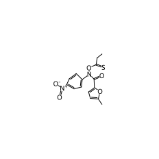 CCC(=S)ON(C(=O)c1ccc(C)o1)c1ccc([N+](=O)[O-])cc1